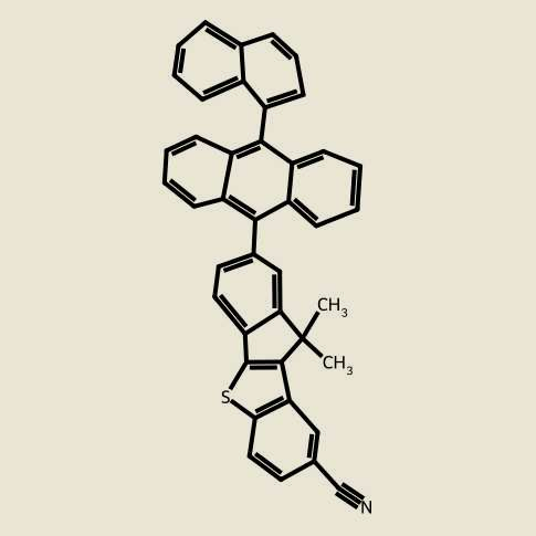 CC1(C)c2cc(-c3c4ccccc4c(-c4cccc5ccccc45)c4ccccc34)ccc2-c2sc3ccc(C#N)cc3c21